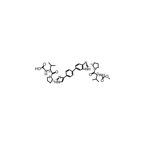 COC(=O)N[C@H](C(=O)N1CCC[C@H]1c1nc2ccc(-c3ccc(-c4c[nH]c([C@@H]5CCCN5C(=O)[C@@H](NC(=O)O)C(C)C)n4)cc3)cc2[nH]1)C(C)C